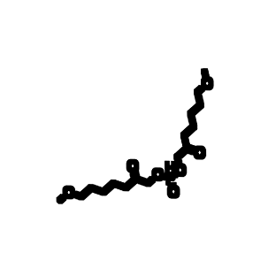 COCCCCCC(=O)CO[PH](=O)OCC(=O)CCCCCOC